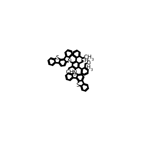 CCc1ccccc1-c1c(CC)c(-c2ccccc2CC)c(-n2c3ccccc3c3c4sc5ccccc5c4ccc32)c(CC)c1-n1c2ccccc2c2c3sc4ccccc4c3ccc21